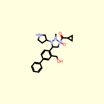 CN1N(C2CCNC2)C(c2ccc(-c3ccccc3)cc2CO)C[N+]1([O-])C(=O)C1CC1